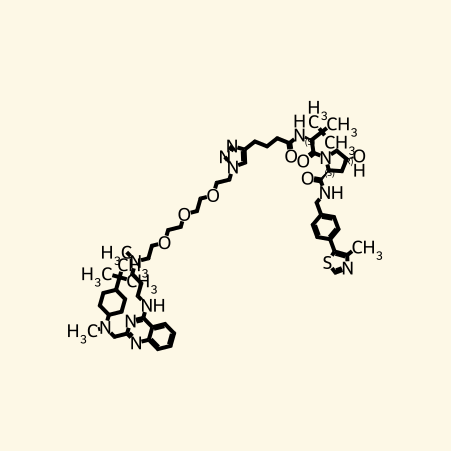 Cc1ncsc1-c1ccc(CNC(=O)[C@@H]2C[C@@H](O)CN2C(=O)[C@@H](NC(=O)CCCc2cn(CCOCCOCCOCCN(C)CCCNc3nc(CN(C)C4CCC(C(C)(C)C)CC4)nc4ccccc34)nn2)C(C)(C)C)cc1